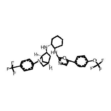 FC(F)(F)Oc1ccc(-c2cnc(N[C@@H]3CCCC[C@H]3N[C@H]3C[C@@H]4C[C@H]3N(c3ccc(C(F)(F)F)cc3)C4)o2)cc1